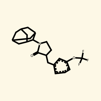 O=C1C(Cc2cccc(OC(F)(F)F)c2)CCN1C1C2CC3CC(C2)CC1C3